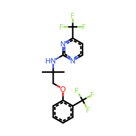 CC(C)(COc1ccccc1C(F)(F)F)Nc1nccc(C(F)(F)F)n1